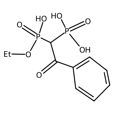 CCOP(=O)(O)C(C(=O)c1ccccc1)P(=O)(O)O